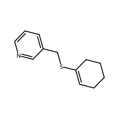 C1=C(SCc2cccnc2)CCCC1